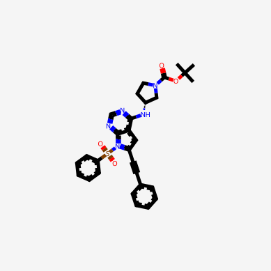 CC(C)(C)OC(=O)N1CC[C@@H](Nc2ncnc3c2cc(C#Cc2ccccc2)n3S(=O)(=O)c2ccccc2)C1